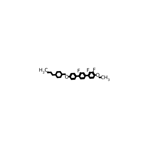 C=CCCC1CCC(COc2ccc(-c3ccc(-c4ccc(OCC)c(F)c4F)cc3F)cc2)CC1